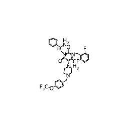 Cc1c(N2CCN(Cc3ccc(OC(F)(F)F)cc3)CC2)c(=O)n(C[C@H](N)c2ccccc2)c(=O)n1Cc1c(F)cccc1F